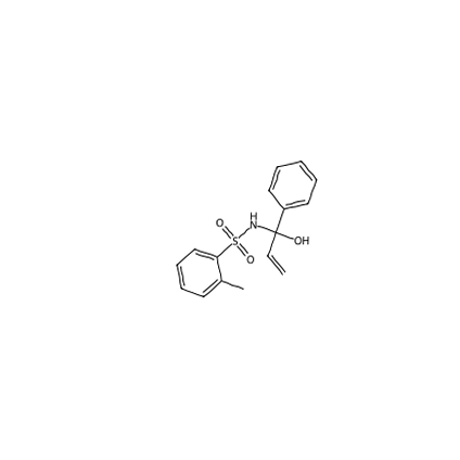 C=CC(O)(NS(=O)(=O)c1ccccc1C)c1ccccc1